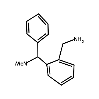 CNC(c1ccccc1)c1ccccc1CN